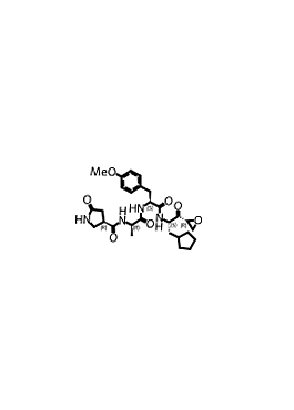 COc1ccc(C[C@H](NC(=O)[C@@H](C)NC(=O)[C@H]2CNC(=O)C2)C(=O)N[C@@H](CC2CCCC2)C(=O)[C@H]2CO2)cc1